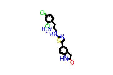 N[C@@H](CNc1ncc(-c2ccc3c(c2)CC(=O)N3)s1)Cc1ccc(Cl)cc1Cl